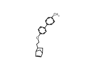 Cc1ccc(-c2ccc(OCCC3CC4C=CC3C4)cc2)cc1